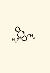 CC1CC=CC2=C1C#Cc1ccccc1CN2C